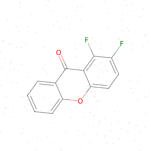 O=c1c2ccccc2oc2ccc(F)c(F)c12